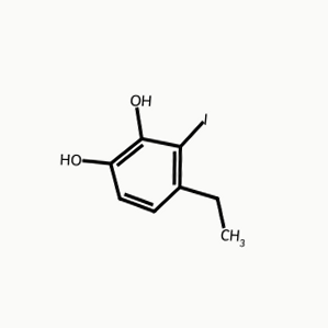 CCc1ccc(O)c(O)c1I